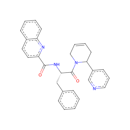 O=C(N[C@@H](Cc1ccccc1)C(=O)N1CC=CCC1c1cccnc1)c1ccc2ccccc2n1